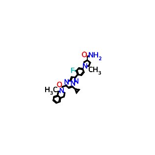 C[C@@H]1c2ccccc2CCN1C(=O)c1cc(C2CC2)n2nc(-c3ccc(N4C[C@@H](C(N)=O)C[C@@H]4C)cc3F)cc2n1